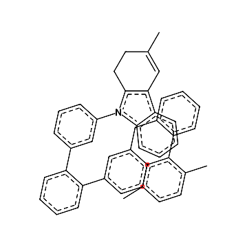 CC1=Cc2c(n(-c3cccc(-c4ccccc4-c4cccc(Cc5ccccc5-c5cc(C)ccc5C)c4)c3)c3ccccc23)CC1